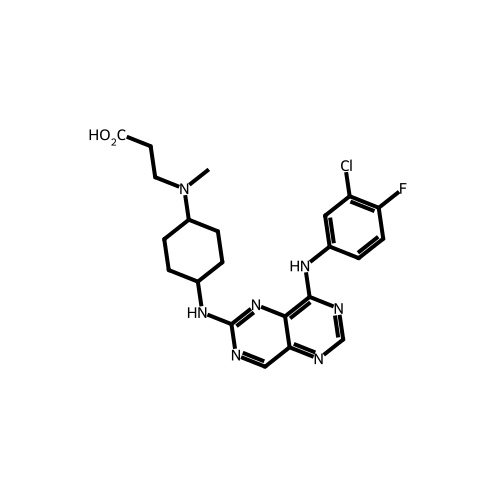 CN(CCC(=O)O)C1CCC(Nc2ncc3ncnc(Nc4ccc(F)c(Cl)c4)c3n2)CC1